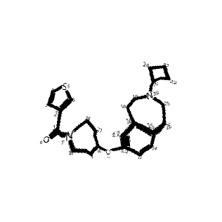 O=C(c1ccsc1)N1CCC(Oc2ccc3c(c2)CCN(C2CCC2)CC3)CC1